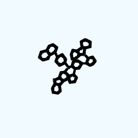 c1ccc(-c2cc(-c3ccccc3-n3c4ccccc4c4ccccc43)ccc2N(c2ccc(-c3cccc4ccccc34)cc2)c2ccc3c(c2)sc2ccccc23)cc1